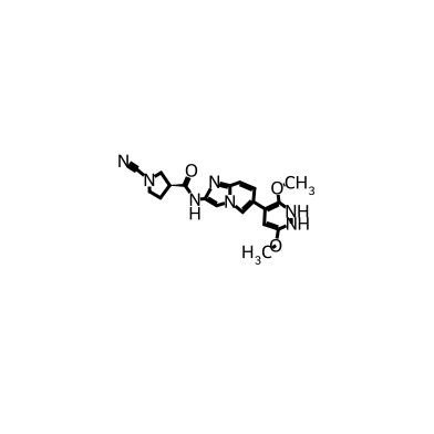 COC1=CC(c2ccc3nc(NC(=O)[C@H]4CCN(C#N)C4)cn3c2)=C(OC)NN1